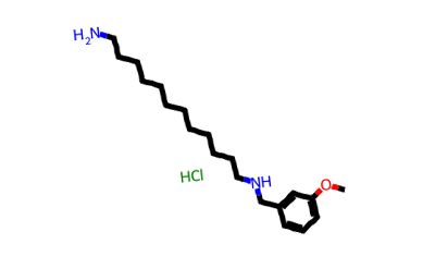 COc1cccc(CNCCCCCCCCCCCCN)c1.Cl